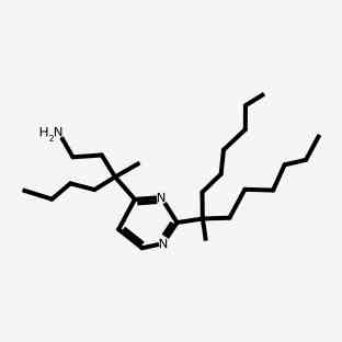 CCCCCCC(C)(CCCCCC)c1nccc(C(C)(CCN)CCCC)n1